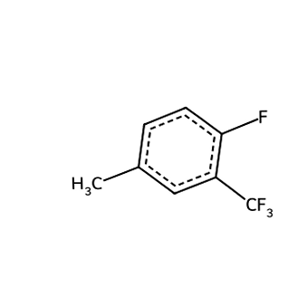 Cc1ccc(F)c(C(F)(F)F)c1